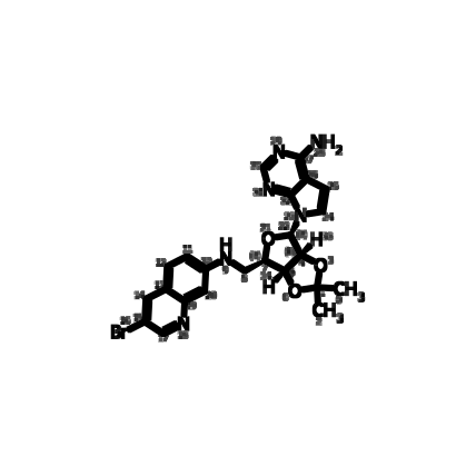 CC1(C)O[C@@H]2[C@H](O1)[C@@H](CNc1ccc3cc(Br)cnc3c1)O[C@H]2n1ccc2c(N)ncnc21